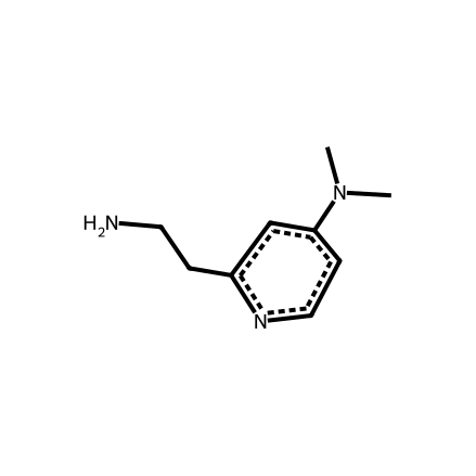 CN(C)c1ccnc(CCN)c1